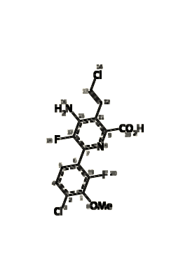 COc1c(Cl)ccc(-c2nc(C(=O)O)c(C=CCl)c(N)c2F)c1F